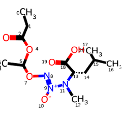 CCC(=O)OC(C)O/N=[N+](\[O-])N(C)[C@@H](CC(C)C)C(=O)O